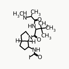 CN[C@@H](C)C(=O)N[C@H](C(=O)N1CC[C@H]2CCC(NC(=O)I)[C@H]21)C(C)(C)C